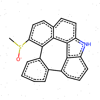 C[S+]([O-])c1ccc2ccc3[nH]c4cccc5c4c3c2c1-c1ccccc1-5